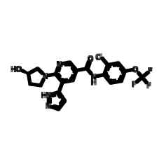 O=C(Nc1ccc(OC(F)(F)F)cc1Cl)c1cnc(N2CC[C@@H](O)C2)c(-c2ccn[nH]2)c1